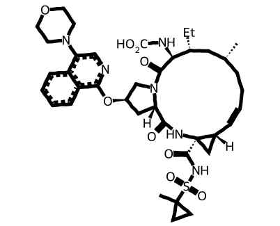 CC[C@@H]1C[C@H](C)CCC=C[C@@H]2C[C@@]2(C(=O)NS(=O)(=O)C2(C)CC2)NC(=O)[C@@H]2C[C@@H](Oc3ncc(N4CCOCC4)c4ccccc34)CN2C(=O)[C@H]1NC(=O)O